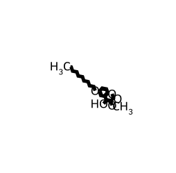 CCCCCCCCCCOc1ccc2oc(=O)c(OC)c(O)c2c1